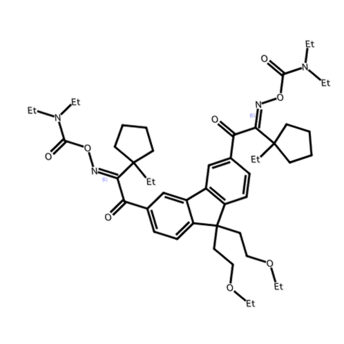 CCOCCC1(CCOCC)c2ccc(C(=O)/C(=N/OC(=O)N(CC)CC)C3(CC)CCCC3)cc2-c2cc(C(=O)/C(=N/OC(=O)N(CC)CC)C3(CC)CCCC3)ccc21